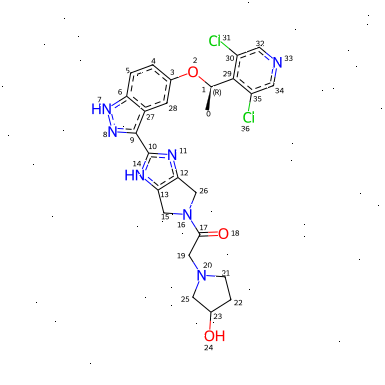 C[C@@H](Oc1ccc2[nH]nc(-c3nc4c([nH]3)CN(C(=O)CN3CCC(O)C3)C4)c2c1)c1c(Cl)cncc1Cl